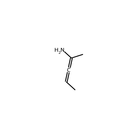 CC=C=C(C)N